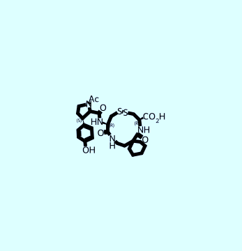 CC(=O)N1CC[C@@H](c2ccc(O)cc2)C1C(=O)N[C@H]1CSSC[C@@H](C(=O)O)NC(=O)C2(CCCCC2)CCNC1=O